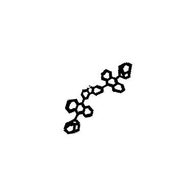 c1ccc2c(C3C4CC5CC(C4)CC3C5)c3ccccc3c(-c3ccc4c(c3)sc3ccc(-c5c6ccccc6c(C6C7CC8CC(C7)CC6C8)c6ccccc56)cc34)c2c1